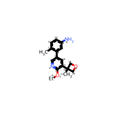 CCOc1ncc(-c2cc(N)ccc2C)cc1C1(C)COC1